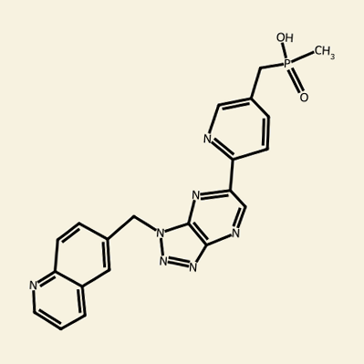 CP(=O)(O)Cc1ccc(-c2cnc3nnn(Cc4ccc5ncccc5c4)c3n2)nc1